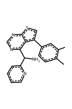 Cc1ccc(-c2csc3ncnc(C(N)c4ccccn4)c23)cc1C